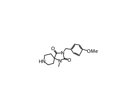 COc1ccc(CN2C(=O)N(C)C3(CCNCC3)C2=O)cc1